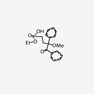 CCOP(=O)(O)CCC(OC)(C(=O)c1ccccc1)c1ccccc1